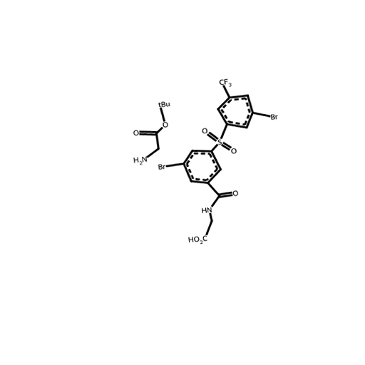 CC(C)(C)OC(=O)CN.O=C(O)CNC(=O)c1cc(Br)cc(S(=O)(=O)c2cc(Br)cc(C(F)(F)F)c2)c1